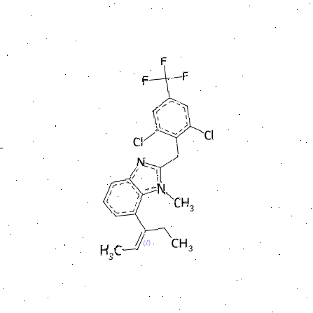 C/C=C(/CC)c1cccc2nc(Cc3c(Cl)cc(C(F)(F)F)cc3Cl)n(C)c12